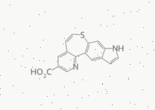 O=C(O)c1cnc2c(c1)C=CSc1cc3[nH]ccc3cc1-2